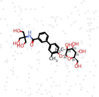 Cc1cc(-c2cccc(C(=O)NC(CO)(CO)CO)c2)ccc1O[C@H]1O[C@H](CO)[C@@H](O)[C@H](O)[C@]1(C)O